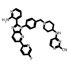 N#Cc1nccc(NC2CCN(Cc3ccc(-n4c(-c5cccnc5N)nc5ccc(-c6ccc(F)cn6)nc54)cc3)CC2)n1